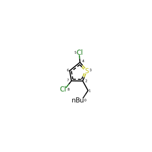 CCCCCc1sc(Cl)cc1Cl